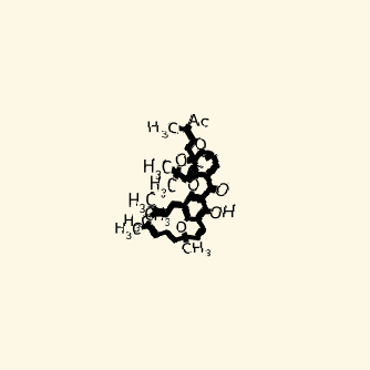 CC(=O)/C(C)=C/CC12OC(C)(C)C3CCC(C=C4C(=O)c5c(O)c6c(c(CC=C(C)C)c5OC431)OC(C)(CCC=C(C)C)C=C6)C2=O